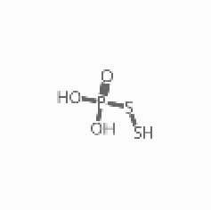 O=P(O)(O)SS